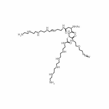 CC(=O)N[C@H](CC(=O)NCCNCCNCCNCCNCCN)C(=O)N[C@@H](CC(=O)NCCNCCNCCNCCNCCN)C(=O)NCCOCCN=[N+]=[N-]